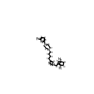 Fc1cccc(N2CCN(CCCCc3cn(CC4C[C@H]5CC[C@@H]4C5)nn3)CC2)n1